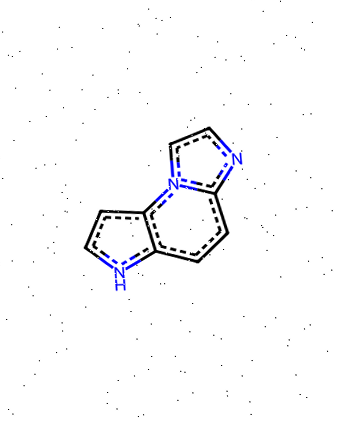 c1cn2c(ccc3[nH]ccc32)n1